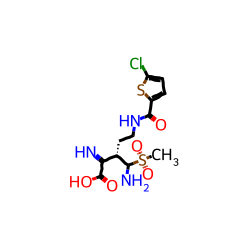 CS(=O)(=O)C(N)[C@@H](CCNC(=O)c1ccc(Cl)s1)C(=N)C(=O)O